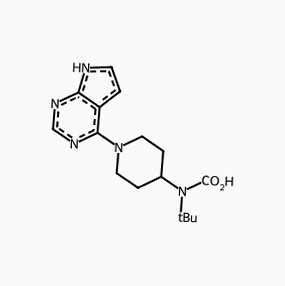 CC(C)(C)N(C(=O)O)C1CCN(c2ncnc3[nH]ccc23)CC1